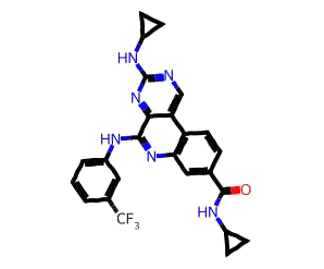 O=C(NC1CC1)c1ccc2c(c1)nc(Nc1cccc(C(F)(F)F)c1)c1nc(NC3CC3)ncc12